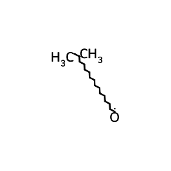 CCC(C)CCCCCCCCCCCCC[C]=O